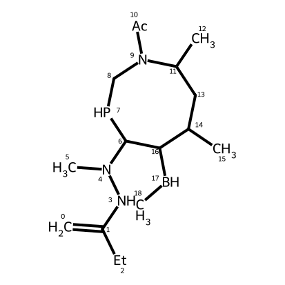 C=C(CC)NN(C)C1PCN(C(C)=O)C(C)CC(C)C1BC